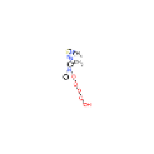 Cc1cc(N(CCOCCOCCOCCOCCO)Cc2ccccc2)ccc1/N=N/c1scc[n+]1C